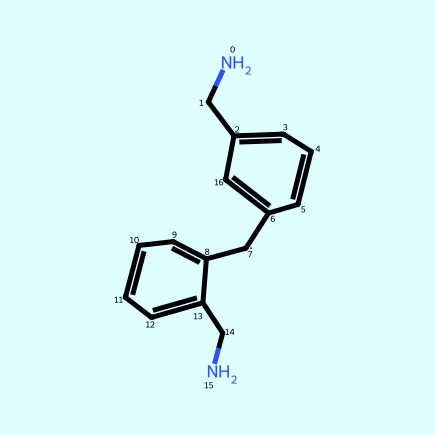 NCc1cccc([CH]c2ccccc2CN)c1